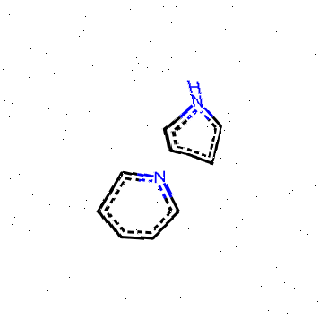 c1cc[nH]c1.c1ccncc1